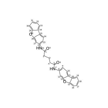 O=C(CCCC(=O)Nc1ccc2c(c1)oc1ccccc12)Nc1ccc2c(c1)oc1ccccc12